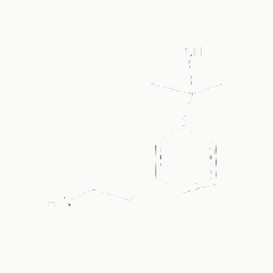 CC(C)(N)c1cccc(CCN)c1